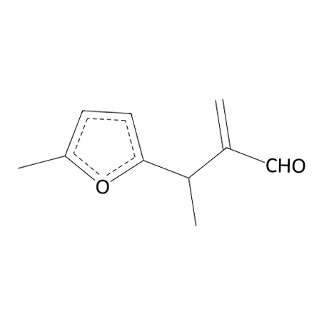 C=C(C=O)C(C)c1ccc(C)o1